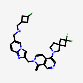 C=C1c2cncc(N3CCC4(C3)CC(F)(F)C4)c2C=CN1Cc1cn2cc(CNCC3CC(F)C3)ccc2n1